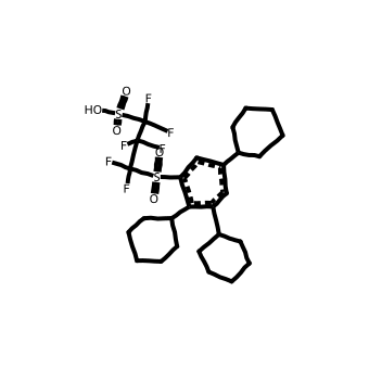 O=S(=O)(O)C(F)(F)C(F)(F)C(F)(F)S(=O)(=O)c1cc(C2CCCCC2)cc(C2CCCCC2)c1C1CCCCC1